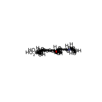 O=C(/C=C/c1cn([C@H]2C[C@H](O)[C@@H](CO)O2)c(=O)[nH]c1=O)NCCCCCCNC(=O)c1ccc(C(=O)NCCOCCOCCOCCONC(=O)c2cc(C(=O)O)c3c(n2)C(=O)C(=O)c2cc(C(=O)O)[nH]c2-3)c(P(=O)(c2ccccc2)c2ccccc2)c1